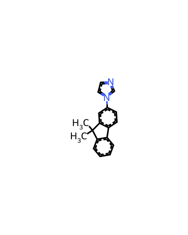 CC1(C)c2ccccc2-c2ccc(-n3ccnc3)cc21